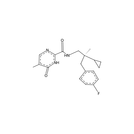 Cc1cnc(C(=O)NC[C@](C)(Cc2ccc(F)cc2)C2CC2)[nH]c1=O